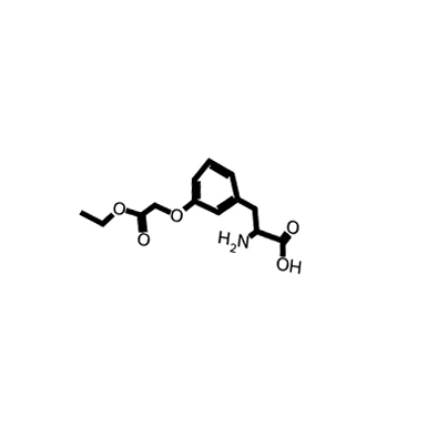 CCOC(=O)COc1cccc(CC(N)C(=O)O)c1